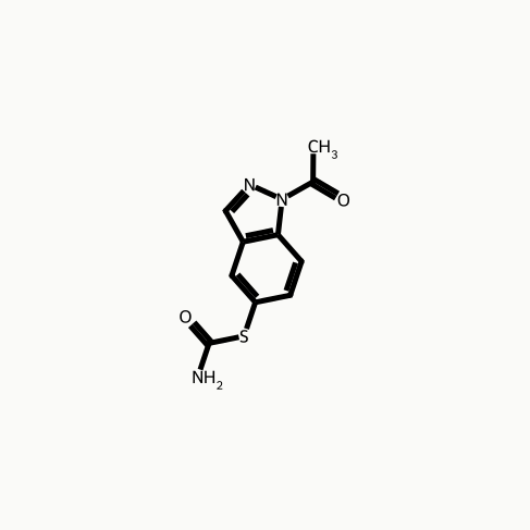 CC(=O)n1ncc2cc(SC(N)=O)ccc21